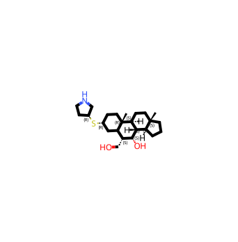 C[C@@]12CCC[C@H]1[C@@H]1[C@H](O)[C@H](CO)C3C[C@H](S[C@@H]4CCNC4)CC[C@]3(C)[C@H]1CC2